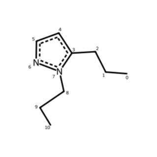 CCCc1ccnn1CCC